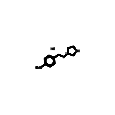 COc1ccc(CS[C@H]2CCNC2)cc1.Cl